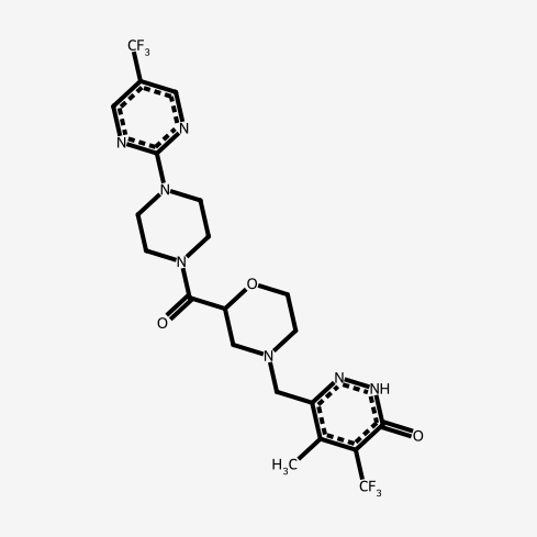 Cc1c(CN2CCOC(C(=O)N3CCN(c4ncc(C(F)(F)F)cn4)CC3)C2)n[nH]c(=O)c1C(F)(F)F